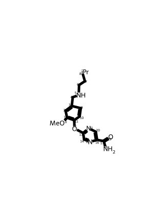 COc1cc(CNCCC(C)C)ccc1Oc1cnc(C(N)=O)cn1